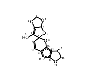 OC1=C2OCOC2OC12C=Cc1oc3c(c1O2)OCO3